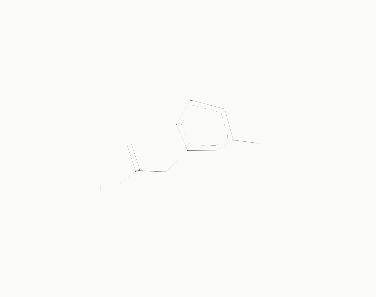 O=C(Cc1cccc(O)c1)C(F)(F)F